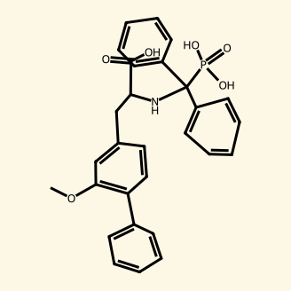 COc1cc(CC(NC(c2ccccc2)(c2ccccc2)P(=O)(O)O)C(=O)O)ccc1-c1ccccc1